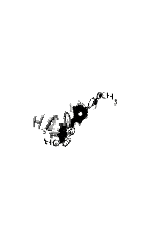 COCOc1ccc(C(=O)OC(C)C(F)(F)C(=O)O)cc1